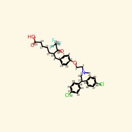 CN(CCOc1ccc(CC(CCCCC(=O)O)C(=O)C(F)(F)F)cc1)CC(c1ccc(Cl)cc1)c1ccc(Cl)cc1